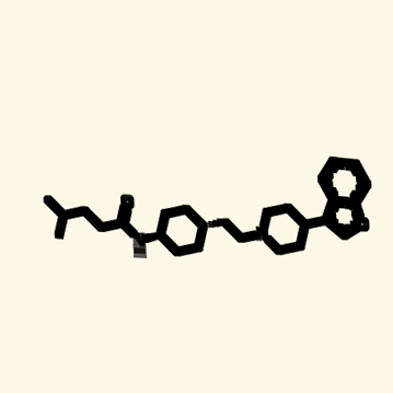 CC(C)CCC(=O)N[C@H]1CC[C@H](CCN2CCC(c3coc4ccccc34)CC2)CC1